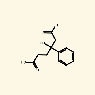 O=C(O)CCC(O)(CC(=O)O)c1ccccc1